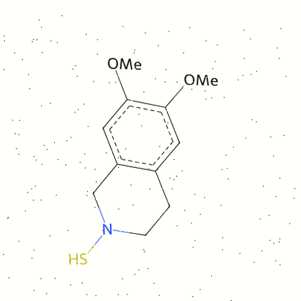 COc1cc2c(cc1OC)CN(S)CC2